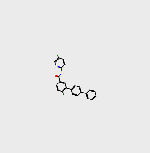 O=C(Nc1ccc(Br)cn1)c1ccc(Cl)c(-c2ccc(-c3ccccc3)cc2)c1